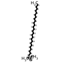 CCCCCCCCCCCCCCCCCCCCCCCCCCC[N+](C)(C)[O-]